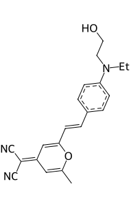 CCN(CCO)c1ccc(C=CC2=CC(=C(C#N)C#N)C=C(C)O2)cc1